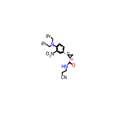 CC(C)CN(CC(C)C)c1ccc([C@@H]2C[C@@H]2C(=O)NCCC#N)cc1[N+](=O)[O-]